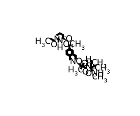 CCC(=O)N1CCC[C@@H](C(=O)O[C@H](C)c2ccc3cnc(OCC(C)(C)C(=O)N[C@H](C(=O)NC)C(C)C)cc3c2)N1